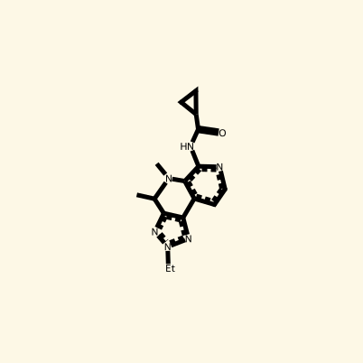 CCn1nc2c(n1)C(C)N(C)c1c-2ccnc1NC(=O)C1CC1